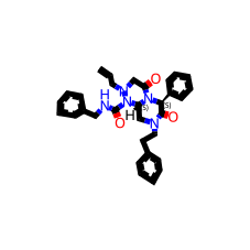 C=CCN1CC(=O)N2[C@@H](c3ccccc3)C(=O)N(CCc3ccccc3)C[C@@H]2N1C(=O)NCc1ccccc1